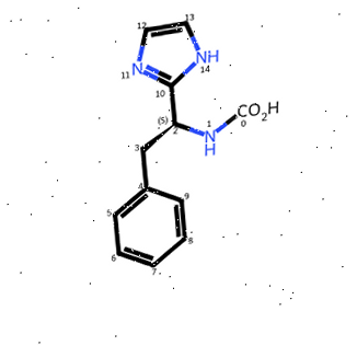 O=C(O)N[C@@H](Cc1ccccc1)c1ncc[nH]1